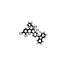 CC1=C(C(=O)N2CCN(C3c4ccccc4-c4ccccc43)CC2)C(c2ccc(Cl)c(Cl)c2)n2nccc2N1